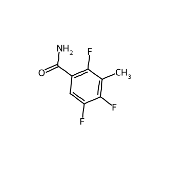 Cc1c(F)c(F)cc(C(N)=O)c1F